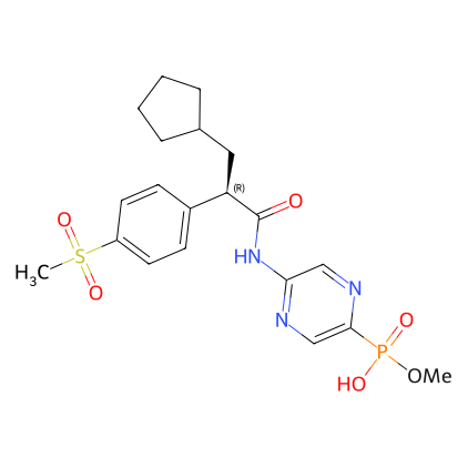 COP(=O)(O)c1cnc(NC(=O)[C@H](CC2CCCC2)c2ccc(S(C)(=O)=O)cc2)cn1